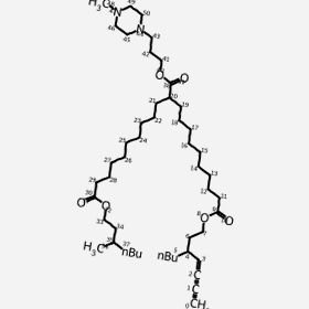 C=C=C=CC(CCCC)CCOC(=O)CCCCCCCCCC(CCCCCCCCCC(=O)OCCC(C)CCCC)C(=O)OCCCN1CCN(C)CC1